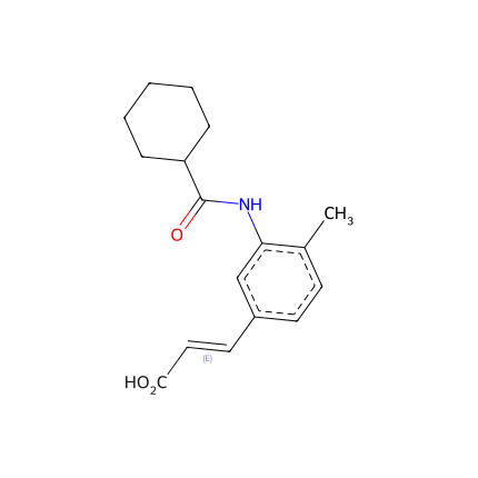 Cc1ccc(/C=C/C(=O)O)cc1NC(=O)C1CCCCC1